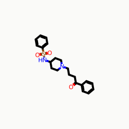 O=C(CCCN1CCC(NS(=O)(=O)c2ccccc2)CC1)c1ccccc1